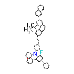 CC1(C)c2cc(/C=C/c3ccc(N(c4ccccc4)c4c(F)cc(-c5ccccc5)cc4-c4ccccc4)cc3)cc3ccc4cc(-c5ccc6ccccc6c5)cc1c4c23